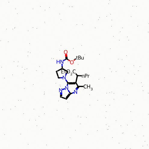 CCCC(C(=O)OCC)c1c(C)nc2ccnn2c1N1CCC(NC(=O)OC(C)(C)C)C1